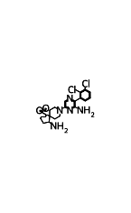 Nc1nc(N2CCC3(CC2)C(N)CCS3(=O)=O)cnc1-c1cccc(Cl)c1Cl